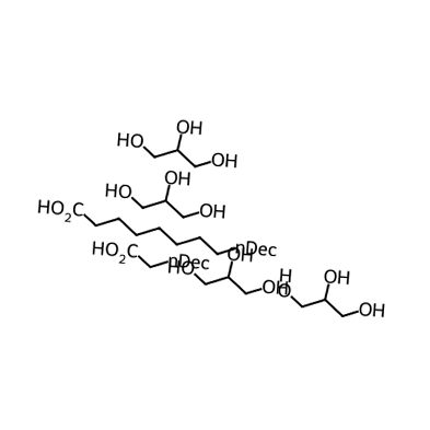 CCCCCCCCCCCC(=O)O.CCCCCCCCCCCCCCCCCC(=O)O.OCC(O)CO.OCC(O)CO.OCC(O)CO.OCC(O)CO